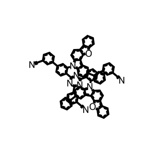 N#Cc1cccc(-c2ccc(-c3nc(-c4cccc(C#N)c4)nc(-c4ccc(-c5cccc(C#N)c5)cc4-n4c5ccc(-c6ccccc6)cc5c5c6oc7ccccc7c6ccc54)n3)c(-n3c4ccc(-c5ccccc5)cc4c4c5oc6ccccc6c5ccc43)c2)c1